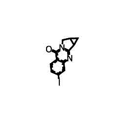 O=c1c2ccc(I)cc2nc2n1CC1CC21